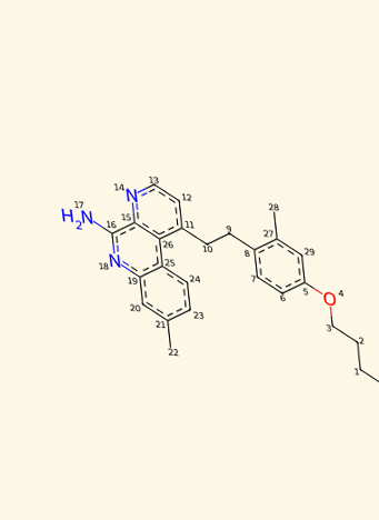 [CH2]CCCOc1ccc(CCc2ccnc3c(N)nc4cc(C)ccc4c23)c(C)c1